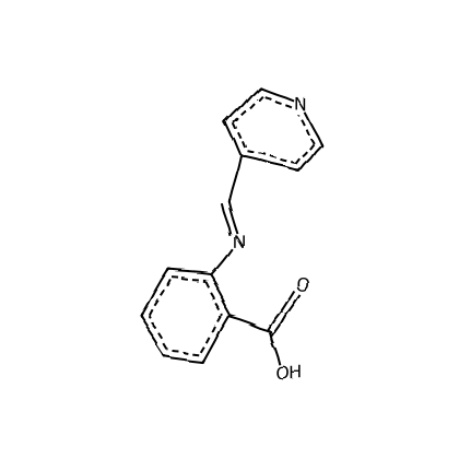 O=C(O)c1ccccc1/N=C/c1ccncc1